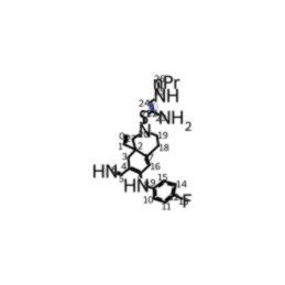 C=CC12CC(C=N)=C(Nc3ccc(F)cc3)C=C1CCN(S/C(N)=C/NCCC)C2